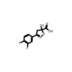 CC1(C(=O)O)CC(c2ccc(F)c(F)c2)=NO1